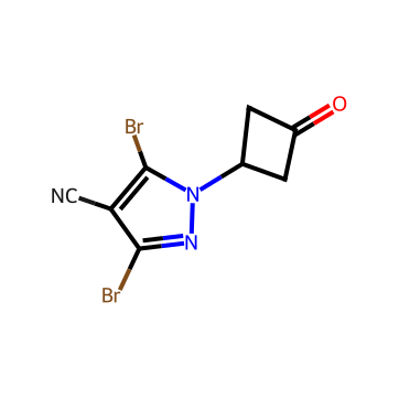 N#Cc1c(Br)nn(C2CC(=O)C2)c1Br